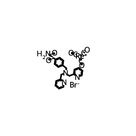 NS(=O)(=O)c1ccc(CN(Cc2ccccn2)Cc2ccccn2)cc1.O=[C]=[Re+](=[C]=O)=[C]=O.[Br-]